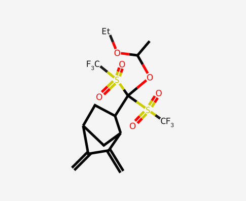 C=C1C(=C)C2CC1CC2C(OC(C)OCC)(S(=O)(=O)C(F)(F)F)S(=O)(=O)C(F)(F)F